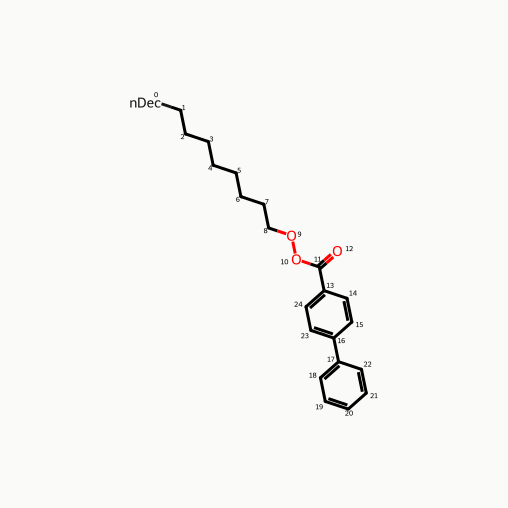 [CH2]CCCCCCCCCCCCCCCCCOOC(=O)c1ccc(-c2ccccc2)cc1